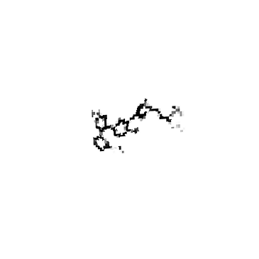 Cc1cccc(-c2n[nH]cc2-c2ccc(F)c(-c3cnn(CCN(C)C)c3)c2)n1